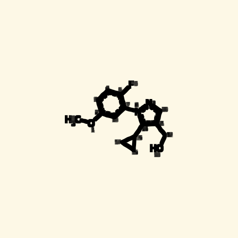 COc1ccc(F)c(-n2ncc(CO)c2C2CC2)c1